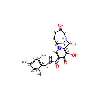 O=C1CC[C@H]2CN(C1)C(=O)c1c(O)c(=O)c(C(=O)NCc3c(F)cc(F)cc3F)cn12